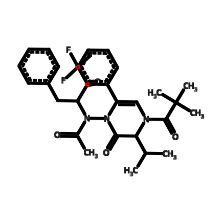 CC(=O)N(C(Cc1ccccc1)C(=O)C(F)(F)F)N1C(=O)C(C(C)C)N(C(=O)C(C)(C)C)C=C1c1ccccc1